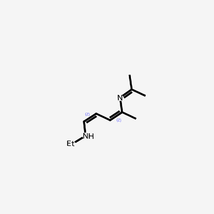 CCN/C=C\C=C(\C)N=C(C)C